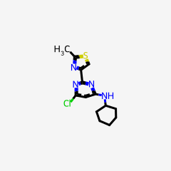 Cc1nc(-c2nc(Cl)cc(NC3CCCCC3)n2)cs1